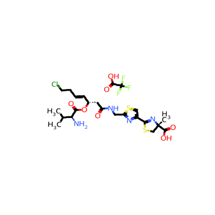 CC(C)[C@H](N)C(=O)O[C@H](C=CCCCl)CC(=O)NCc1nc(C2=N[C@](C)(C(=O)O)CS2)cs1.O=C(O)C(F)(F)F